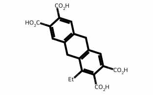 CCc1c2c(cc(C(=O)O)c1C(=O)O)Cc1cc(C(=O)O)c(C(=O)O)cc1C2